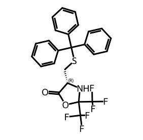 O=C1OC(C(F)(F)F)(C(F)(F)F)N[C@H]1CSC(c1ccccc1)(c1ccccc1)c1ccccc1